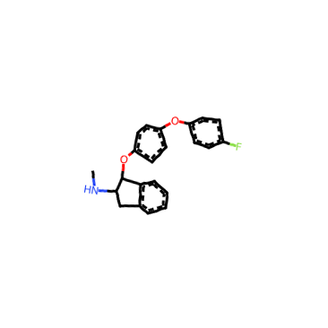 CNC1Cc2ccccc2C1Oc1ccc(Oc2ccc(F)cc2)cc1